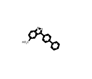 O=C(O)c1ccc2noc(-c3ccc(-c4ccccc4)cc3)c2c1